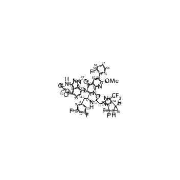 COc1nc2nc([C@H](Cc3cc(F)cc(F)c3)NC(=O)Cn3nc(C(F)(F)F)c4c3C(F)(F)[C@@H]3C[C@H]43)n(-c3ccc(Cl)c4c(NS(C)(=O)=O)nn(C)c34)c(=O)c2cc1-c1ccccc1F